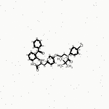 CC(C)(C)C(=O)N(CCOc1ccc(C[C@H](Nc2ccccc2C(=O)c2ccccc2)C(=O)O)cc1)c1ccc(Cl)cc1